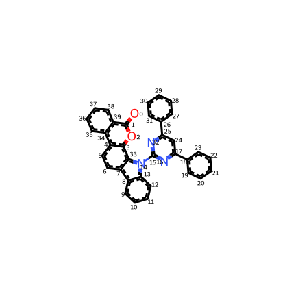 O=c1oc2c(ccc3c4ccccc4n(-c4nc(-c5ccccc5)cc(-c5ccccc5)n4)c32)c2ccccc12